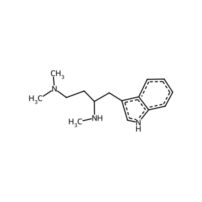 CNC(CCN(C)C)Cc1c[nH]c2ccccc12